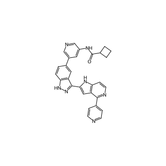 O=C(Nc1cncc(-c2ccc3[nH]nc(-c4cc5c(-c6ccncc6)nccc5[nH]4)c3c2)c1)C1CCC1